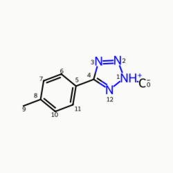 [CH2-][NH+]1N=NC(c2ccc(C)cc2)=N1